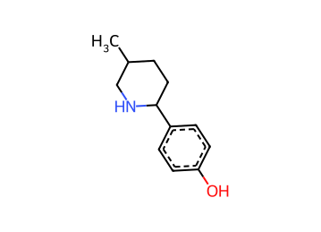 CC1CCC(c2ccc(O)cc2)NC1